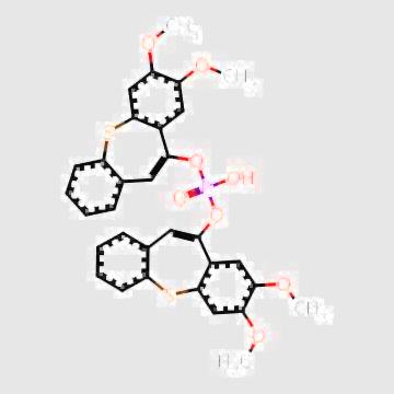 COc1cc2c(cc1OC)C(OP(=O)(O)OC1=Cc3ccccc3Sc3cc(OC)c(OC)cc31)=Cc1ccccc1S2